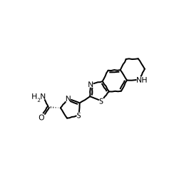 NC(=O)[C@H]1CSC(c2nc3cc4c(cc3s2)NCCC4)=N1